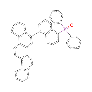 O=P(c1ccccc1)(c1ccccc1)c1cccc2c(-c3cc4c(ccc5c6ccccc6ccc54)c4ccccc34)cccc12